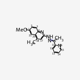 COc1ccc2nc(N/N=C(\C)c3ccccn3)cc(C)c2c1